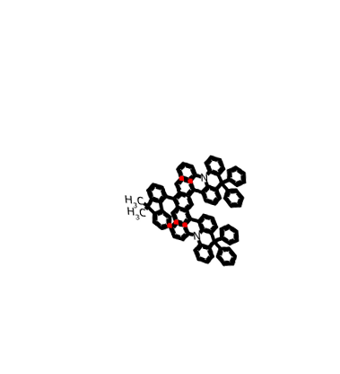 CC1(C)c2ccccc2-c2c(-c3c4cccc(-c5cccc6c5N(c5ccccc5)c5ccccc5C6(c5ccccc5)c5ccccc5)c4cc4c(-c5cccc6c5N(c5ccccc5)c5ccccc5C6(c5ccccc5)c5ccccc5)cccc34)cccc21